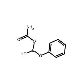 NC(=O)OB(O)Oc1ccccc1